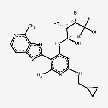 CC[C@@H]([C@@H](O)[C@@H](O)Nc1nc(NCC2CC2)nc(C)c1-c1nc2c(C)nccc2s1)C(O)(CC)CC